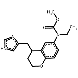 CCN(C(=O)OC)c1ccc2c(c1)C(Cc1c[nH]cn1)CCO2